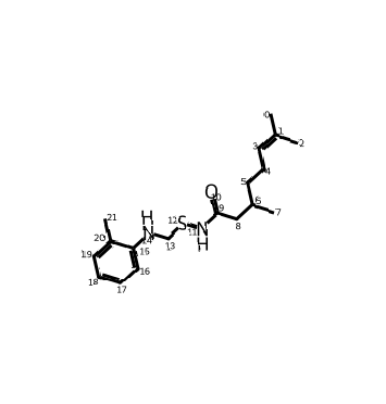 CC(C)=CCCC(C)CC(=O)NSCNc1ccccc1C